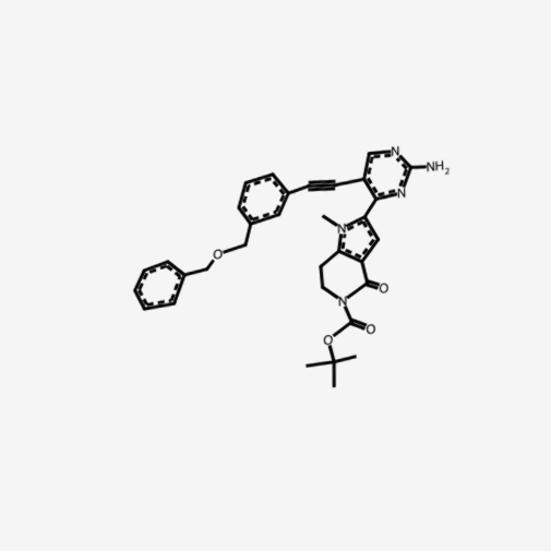 Cn1c(-c2nc(N)ncc2C#Cc2cccc(COCc3ccccc3)c2)cc2c1CCN(C(=O)OC(C)(C)C)C2=O